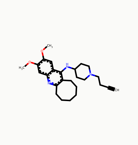 C#CCCN1CCC(Nc2c3c(nc4cc(OC)c(OC)cc24)CCCCCC3)CC1